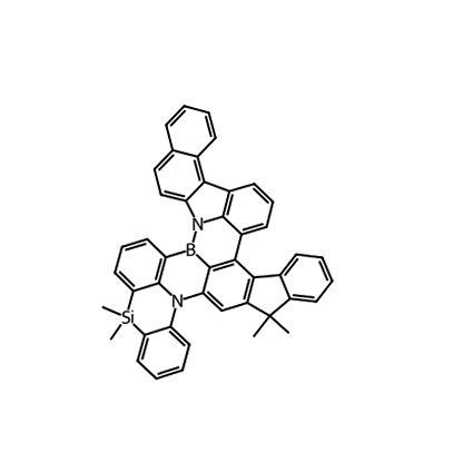 CC1(C)c2ccccc2-c2c1cc1c3c2-c2cccc4c5c6ccccc6ccc5n(c24)B3c2cccc3c2N1c1ccccc1[Si]3(C)C